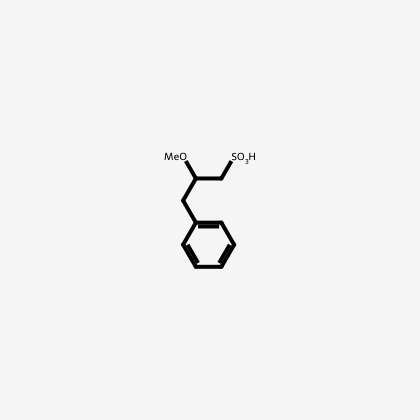 COC(Cc1ccccc1)CS(=O)(=O)O